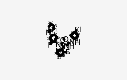 O=C(Nc1ccc(Cl)cc1)NC(C(=O)NC1=CCC(=NN2CCCC2)C=C1F)c1ccccc1F